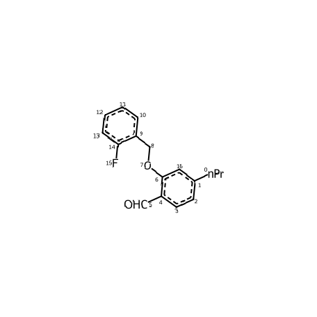 [CH2]CCc1ccc(C=O)c(OCc2ccccc2F)c1